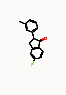 Cc1cccc(C2Cc3cc(F)ccc3C2=O)c1